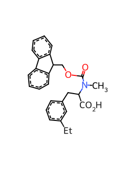 CCc1cccc(CC(C(=O)O)N(C)C(=O)OCC2c3ccccc3-c3ccccc32)c1